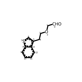 O=CCOCCc1csc2ccccc12